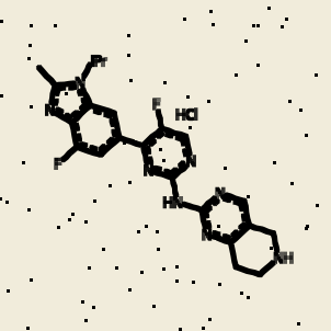 Cc1nc2c(F)cc(-c3nc(Nc4ncc5c(n4)CCNC5)ncc3F)cc2n1C(C)C.Cl